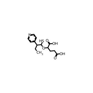 CCC(c1ccncc1)C(S)OC(CCC(=O)O)C(=O)O